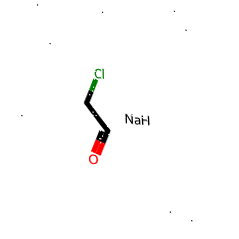 O=CCCl.[NaH]